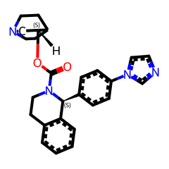 O=C(O[C@@H]1CN2CCC1CC2)N1CCc2ccccc2[C@@H]1c1ccc(-n2ccnc2)cc1